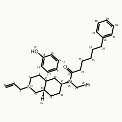 C=CCN1CC[C@@]2(c3cccc(O)c3)C[C@@H](N(CC(C)C)C(=O)CCCCCc3ccccc3)CC[C@@H]2C1